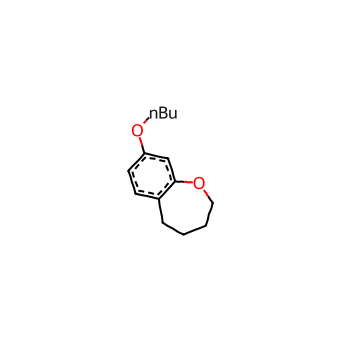 CCCCOc1ccc2c(c1)OCCCC2